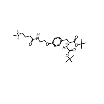 CC(C)(C)OC(=O)N[C@@H](Cc1ccc(OCCNC(=O)CCC[N+](C)(C)C)cc1)C(=O)OC(C)(C)C